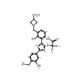 CCc1c(CN2CC(C(=O)O)C2)cccc1-c1cnc(-c2ccc(CC(C)C)c(C#N)c2)s1.O=C(O)C(F)(F)F